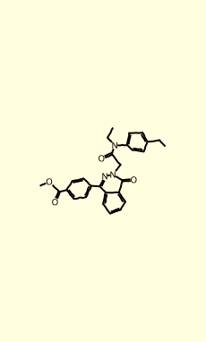 CCc1ccc(N(CC)C(=O)Cn2nc(-c3ccc(C(=O)OC)cc3)c3ccccc3c2=O)cc1